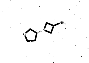 NC1CN([C@@H]2CCOC2)C1